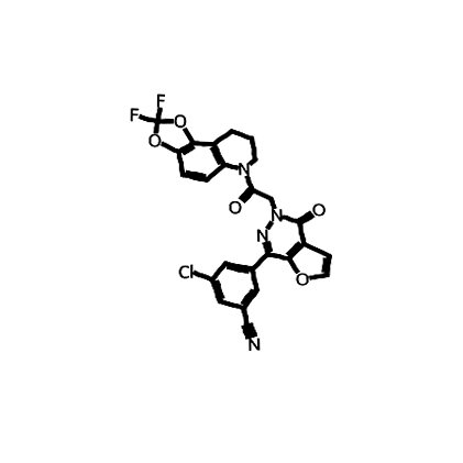 N#Cc1cc(Cl)cc(-c2nn(CC(=O)N3CCCc4c3ccc3c4OC(F)(F)O3)c(=O)c3ccoc23)c1